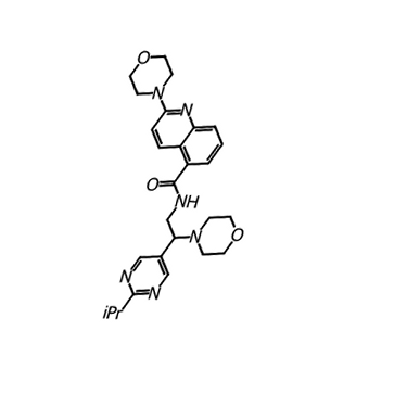 CC(C)c1ncc(C(CNC(=O)c2cccc3nc(N4CCOCC4)ccc23)N2CCOCC2)cn1